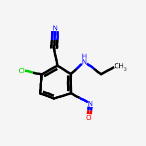 CCNc1c(N=O)ccc(Cl)c1C#N